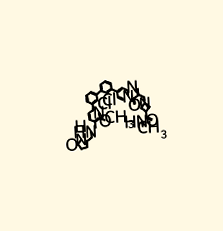 CNC(=O)C1CN(Cc2cnc3cc(-c4cccc(-c5cccc(-c6ccc(CNCC7CCC(=O)N7)c(OC)n6)c5Cl)c4Cl)ccn3c2=O)C1